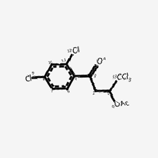 CC(=O)OC(CC(=O)c1ccc(Cl)cc1Cl)C(Cl)(Cl)Cl